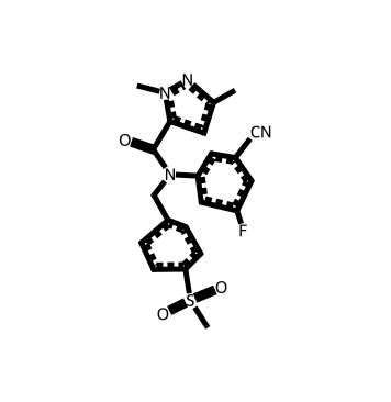 Cc1cc(C(=O)N(Cc2ccc(S(C)(=O)=O)cc2)c2cc(F)cc(C#N)c2)n(C)n1